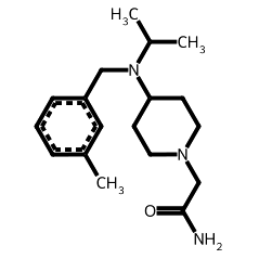 Cc1cccc(CN(C(C)C)C2CCN(CC(N)=O)CC2)c1